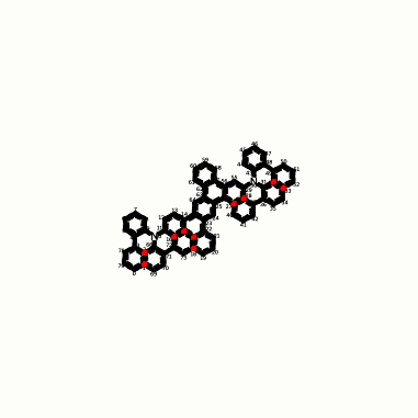 c1ccc(-c2ccccc2N(c2ccc3c(c2)c2ccccc2c2cc4c5ccc(N(c6ccccc6-c6ccccc6)c6ccccc6-c6ccccc6)cc5c5ccccc5c4cc32)c2ccccc2-c2ccccc2)cc1